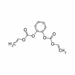 C=COC(=O)Oc1ccccc1OC(=O)OC=C